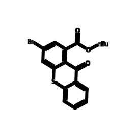 CCCCOC(=O)c1cc(Br)cc2sc3ccccc3c(=O)c12